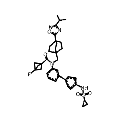 CC(C)c1noc(C23CCC(CN(C(=O)C45CC(F)(C4)C5)c4cccc(-c5ccc(NS(=O)(=O)C6CC6)cc5)c4)(CC2)CC3)n1